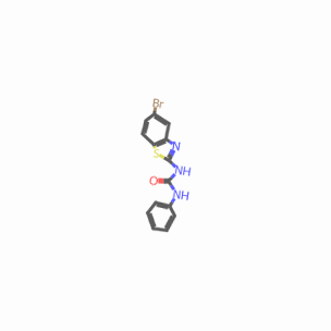 O=C(Nc1ccccc1)Nc1nc2cc(Br)ccc2s1